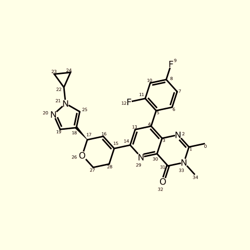 Cc1nc2c(-c3ccc(F)cc3F)cc(C3=C[C@H](c4cnn(C5CC5)c4)OCC3)nc2c(=O)n1C